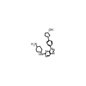 NC1CCC(Nc2ncc3nnn(-c4ccc(N5CC[C@H](O)C5)cc4)c3n2)CC1